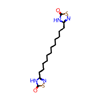 O=c1[nH]c(CCCCCCCCCCCCc2nsc(=O)[nH]2)ns1